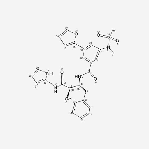 CN(c1cc(C(=O)N[C@@H](Cc2ccccc2)[C@@H](O)C(=O)Nc2ncc[nH]2)cc(-c2ccco2)c1)S(C)(=O)=O